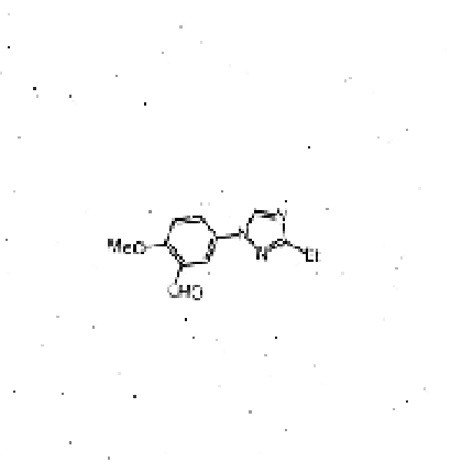 CCc1ncn(-c2ccc(OC)c(C=O)c2)n1